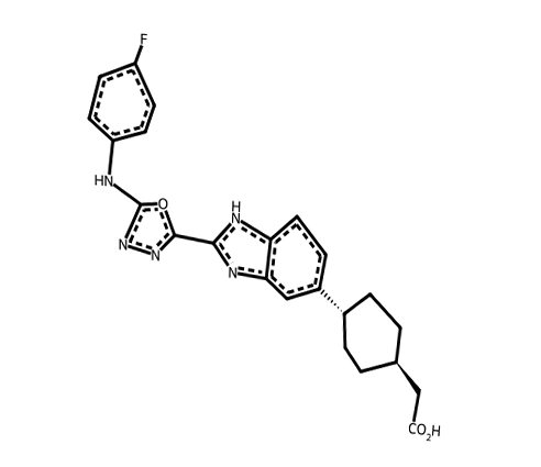 O=C(O)C[C@H]1CC[C@H](c2ccc3[nH]c(-c4nnc(Nc5ccc(F)cc5)o4)nc3c2)CC1